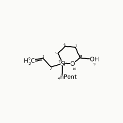 C=CC[Si]1(CCCCC)CCCC(O)O1